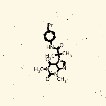 CC(C)c1ccc(NC(=O)C(C)(C)N2C=NC3C2C(=O)N(C)C(=O)N3C)cc1